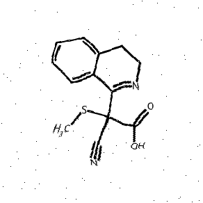 CSC(C#N)(C(=O)O)C1=NCCc2ccccc21